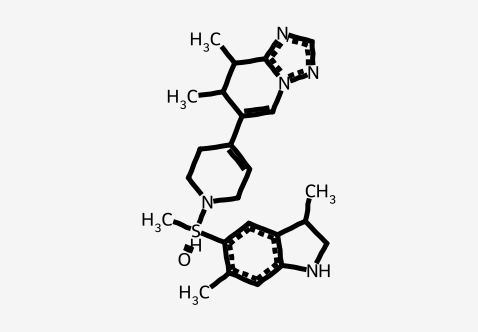 Cc1cc2c(cc1[SH](C)(=O)N1CC=C(C3=Cn4ncnc4C(C)C3C)CC1)C(C)CN2